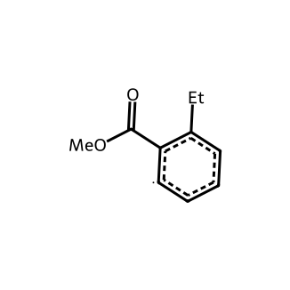 CCc1ccc[c]c1C(=O)OC